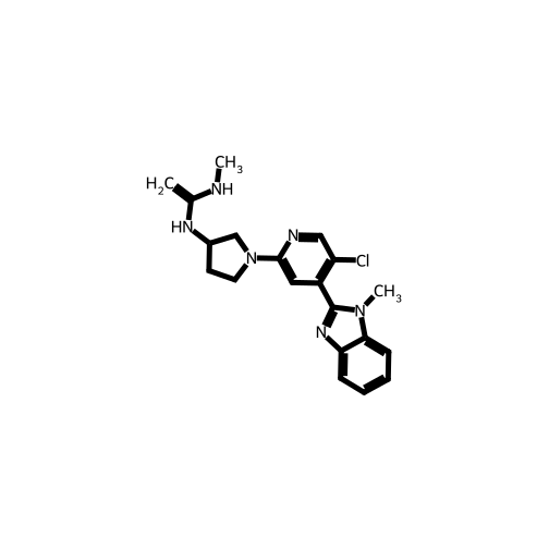 C=C(NC)NC1CCN(c2cc(-c3nc4ccccc4n3C)c(Cl)cn2)C1